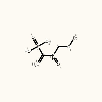 C=C([PH](=O)COCC)P(=O)(O)O